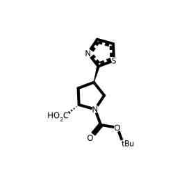 CC(C)(C)OC(=O)N1C[C@H](c2nccs2)C[C@H]1C(=O)O